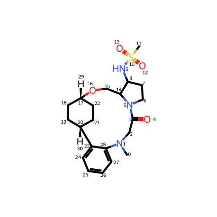 CN1CC(=O)N2CCC(NS(C)(=O)=O)C2CO[C@H]2CC[C@H](CC2)c2ccccc21